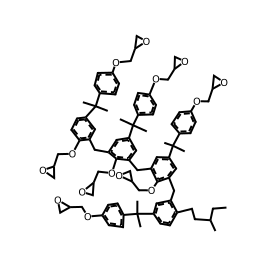 CCC(C)CCc1ccc(C(C)(C)c2ccc(OCC3CO3)cc2)cc1Cc1cc(C(C)(C)c2ccc(OCC3CO3)cc2)cc(Cc2cc(C(C)(C)c3ccc(OCC4CO4)cc3)cc(Cc3cc(C(C)(C)c4ccc(OCC5CO5)cc4)ccc3OCC3CO3)c2OCC2CO2)c1OCC1CO1